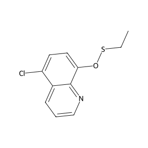 CCSOc1ccc(Cl)c2cccnc12